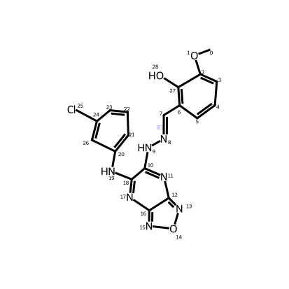 COc1cccc(/C=N/Nc2nc3nonc3nc2Nc2cccc(Cl)c2)c1O